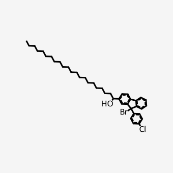 CCCCCCCCCCCCCCCCCCCCCC(O)c1ccc2c(c1)C(Br)(c1ccc(Cl)cc1)c1ccccc1-2